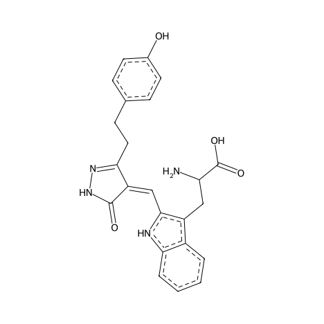 NC(Cc1c(/C=C2\C(=O)NN=C2CCc2ccc(O)cc2)[nH]c2ccccc12)C(=O)O